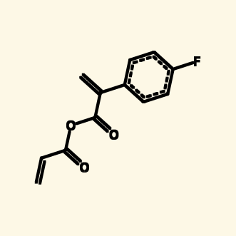 C=CC(=O)OC(=O)C(=C)c1ccc(F)cc1